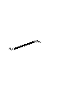 CC=CCCCCC=CC=CCCCCCCCCCCCCCCCCC